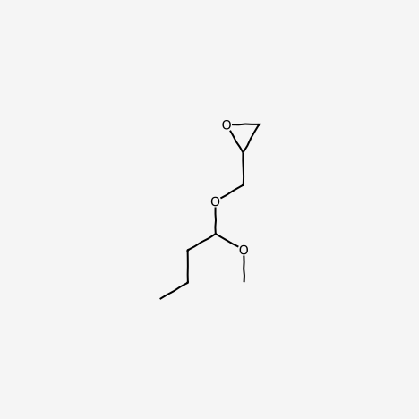 CCCC(OC)OCC1CO1